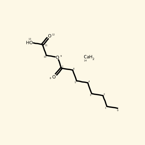 CCCCCCCC(=O)OCC(=O)O.[CaH2]